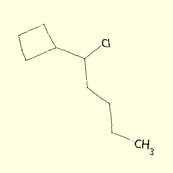 CCCCC(Cl)C1CCC1